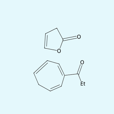 CCC(=O)C1=CC=CCC=C1.O=C1CC=CO1